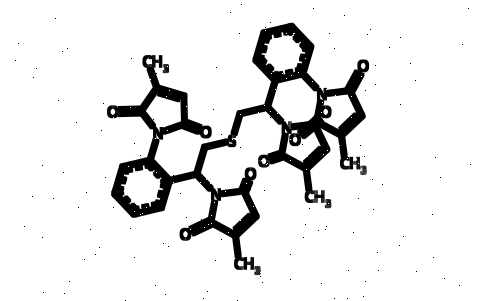 CC1=CC(=O)N(c2ccccc2C(CSCC(c2ccccc2N2C(=O)C=C(C)C2=O)N2C(=O)C=C(C)C2=O)N2C(=O)C=C(C)C2=O)C1=O